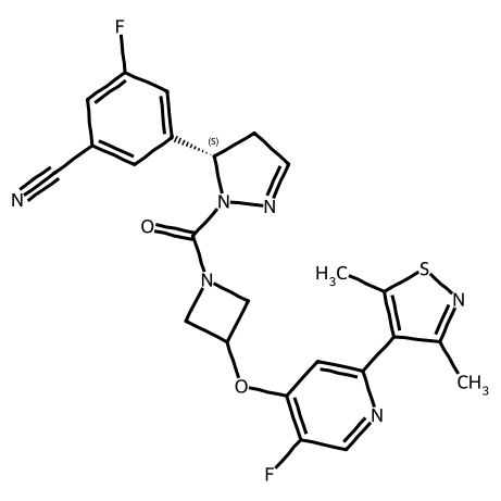 Cc1nsc(C)c1-c1cc(OC2CN(C(=O)N3N=CC[C@H]3c3cc(F)cc(C#N)c3)C2)c(F)cn1